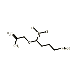 C=C(C)COC(CCCCCCCCCC)[SiH](Cl)Cl